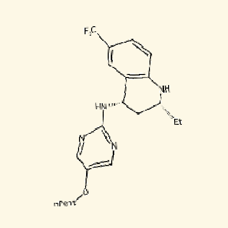 CCCCCOc1cnc(N[C@H]2C[C@@H](CC)Nc3ccc(C(F)(F)F)cc32)nc1